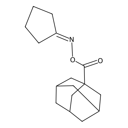 O=C(ON=C1CCCC1)C12CC3CC(CC(C3)C1)C2